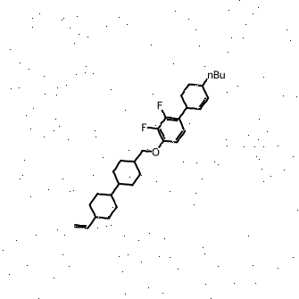 C=CC1CCC(C2CCC(COc3ccc(C4C=CC(CCCC)CC4)c(F)c3F)CC2)CC1